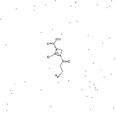 CCCC(=O)C12CC(C(=O)O)(C1)C2Br